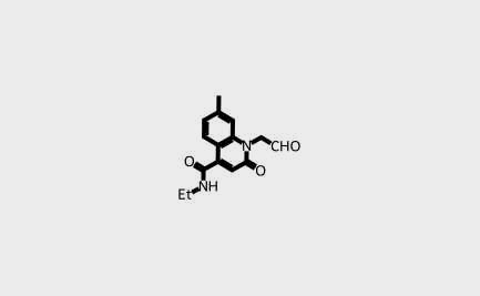 CCNC(=O)c1cc(=O)n(CC=O)c2cc(C)ccc12